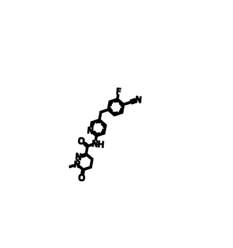 CN1N=C(C(=O)Nc2ccc(Cc3ccc(C#N)c(F)c3)cn2)CCC1=O